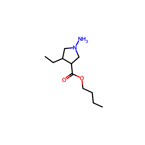 CCCCOC(=O)C1CN(N)CC1CC